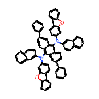 c1ccc(-c2ccc3c(N(c4ccc5ccccc5c4)c4ccc5c(c4)oc4ccccc45)c4cc(-c5ccccc5)ccc4c(N(c4ccc5ccccc5c4)c4ccc5c(c4)oc4ccccc45)c3c2)cc1